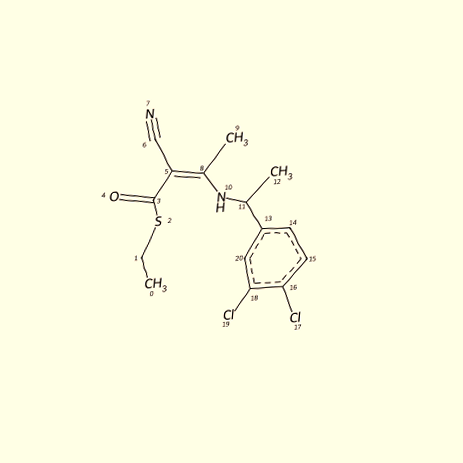 CCSC(=O)C(C#N)=C(C)NC(C)c1ccc(Cl)c(Cl)c1